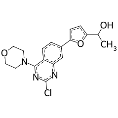 CC(O)c1ccc(-c2ccc3c(N4CCOCC4)nc(Cl)nc3c2)o1